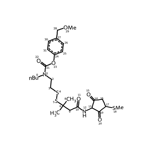 CCCCN(CCSSC(C)(C)CC(=O)NC1C(=O)CC(SC)C1=O)C(=O)Oc1ccc(COC)cc1